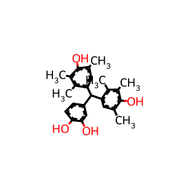 Cc1cc(C(c2ccc(O)c(O)c2)c2cc(C)c(O)c(C)c2C)c(C)c(C)c1O